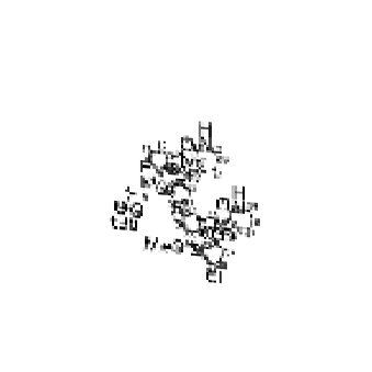 CC(C)(C)OC(=O)CCNC(=O)c1cccc(CN(C2CCCCNC2=O)S(=O)(=O)c2ccc(Cl)cc2)c1.COC(=O)c1cccc(CN(C2CCCCNC2=O)S(=O)(=O)c2ccc(Cl)cc2)c1